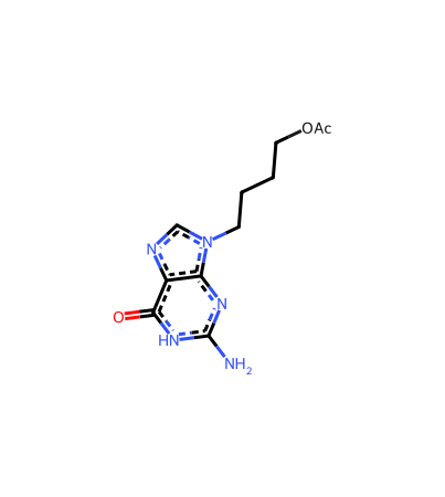 CC(=O)OCCCCn1cnc2c(=O)[nH]c(N)nc21